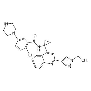 CCn1cc(-c2cc(C3(NC(=O)c4cc(N5CCNCC5)ccc4C)CC3)c3ccccc3n2)cn1